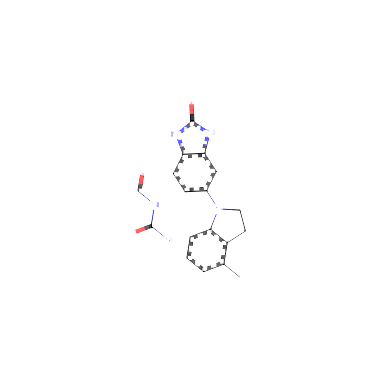 Cc1cccc2c1CCN2c1ccc2[nH]c(=O)[nH]c2c1.NC(=O)NC=O